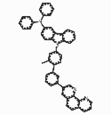 Cc1cc(-n2c3ccccc3c3cc(N(c4ccccc4)c4ccccc4)ccc32)ccc1-c1cccc(-c2cnc3c(ccc4cccnc43)c2)c1